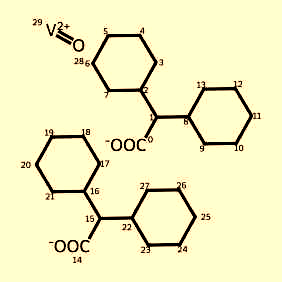 O=C([O-])C(C1CCCCC1)C1CCCCC1.O=C([O-])C(C1CCCCC1)C1CCCCC1.[O]=[V+2]